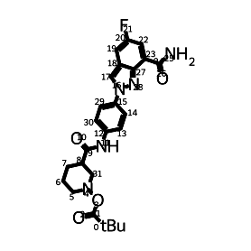 CC(C)(C)C(=O)ON1CCCC(C(=O)Nc2ccc(-n3cc4cc(F)cc(C(N)=O)c4n3)cc2)C1